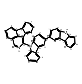 c1ccc2c(c1)-c1cccc3cnc(-n4c5ccccc5c5cc(-c6ccc7oc8ccccc8c7c6)ccc54)c-2c13